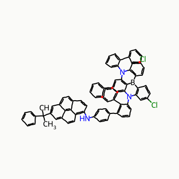 CC(C)(c1ccccc1)c1cc2ccc3ccc(Nc4ccc(-c5cccc(N6c7cc(Cl)ccc7B7c8ccc(Cl)cc8N(c8ccccc8-c8ccccc8)c8cc(-c9ccccc9)cc6c87)c5-c5ccccc5)cc4)c4ccc(c1)c2c34